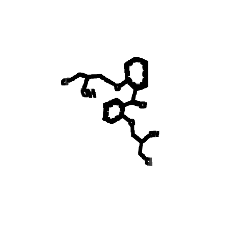 O=C(c1ccccc1OCC(O)CCl)c1ccccc1OCC(O)CCl